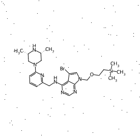 C[C@@H]1CN(c2cccc(CNc3ncnc4c3c(Br)cn4COCC[Si](C)(C)C)n2)C[C@H](C)N1